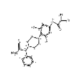 CCC(CC)C(=O)Nc1cc(F)c(N2CCN(C(C(=O)OC)c3ccccc3)CC2)c(F)c1